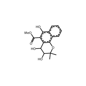 COC(=O)c1c2c(c3ccccc3c1O)OC(C)(C)C(O)C2O